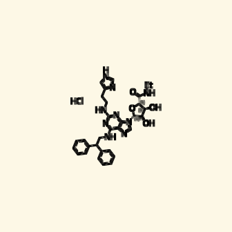 CCNC(=O)[C@H]1O[C@@H](n2cnc3c(NCC(c4ccccc4)c4ccccc4)nc(NCCc4c[nH]cn4)nc32)[C@H](O)[C@@H]1O.Cl